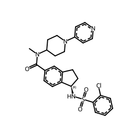 CN(C(=O)c1ccc2c(c1)CC[C@H]2NS(=O)(=O)c1ccccc1Cl)C1CCN(c2ccncc2)CC1